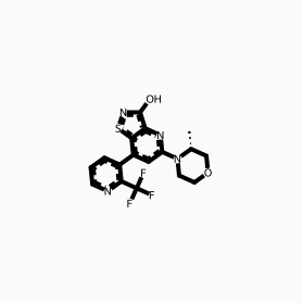 C[C@@H]1COCCN1c1cc(-c2cccnc2C(F)(F)F)c2snc(O)c2n1